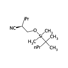 CCCC(C)(C)[Si](C)(C)OC[C@@H](C#N)C(C)C